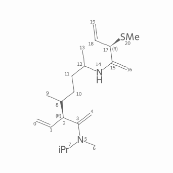 C=C[C@H](C(=C)N(C)C(C)C)C(C)CCC(C)NC(=C)[C@@H](C=C)SC